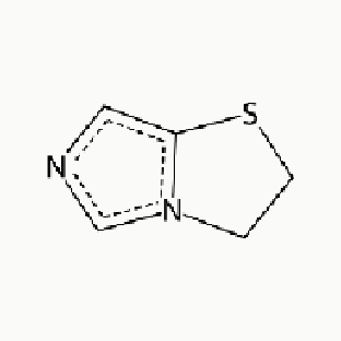 c1ncn2c1SCC2